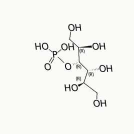 O=P(O)(O)O[C@@H]([C@H](O)[C@H](O)CO)[C@H](O)CO